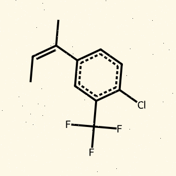 C/C=C(/C)c1ccc(Cl)c(C(F)(F)F)c1